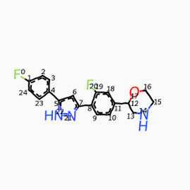 Fc1ccc(-c2cc(-c3ccc(C4CNCCO4)cc3F)n[nH]2)cc1